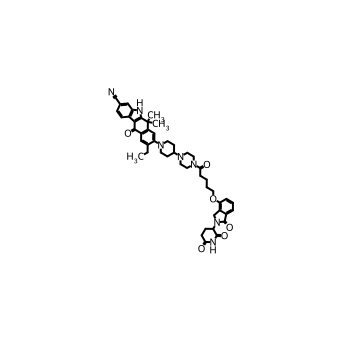 CCc1cc2c(cc1N1CCC(N3CCN(C(=O)CCCCOc4cccc5c4CN(C4CCC(=O)NC4=O)C5=O)CC3)CC1)C(C)(C)c1[nH]c3cc(C#N)ccc3c1C2=O